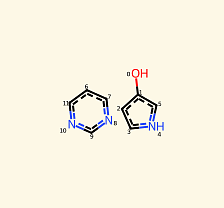 Oc1cc[nH]c1.c1cncnc1